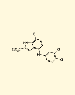 CCOC(=O)c1cc2c(Nc3ccc(Cl)c(Cl)c3)ccc(F)c2[nH]1